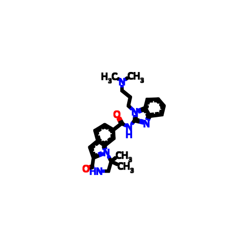 CN(C)CCCn1c(NC(=O)c2ccc3cc4n(c3c2)C(C)(C)CNC4=O)nc2ccccc21